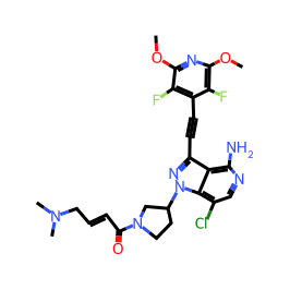 COc1nc(OC)c(F)c(C#Cc2nn(C3CCN(C(=O)/C=C/CN(C)C)C3)c3c(Cl)cnc(N)c23)c1F